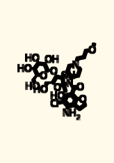 COCCCN1CCC(N(C(=O)c2cc(Cl)c(N)c3c2OCC3)C2(CO)O[C@@H](CO)[C@H](O[C@H]3O[C@@H](CO)[C@@H](O)[C@@H](O)[C@@H]3O)[C@H]2O)CC1